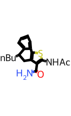 CCCCC1Cc2c(sc(NC(C)=O)c2C(N)=O)-c2ccccc21